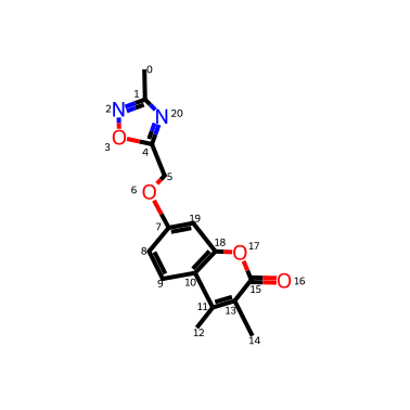 Cc1noc(COc2ccc3c(C)c(C)c(=O)oc3c2)n1